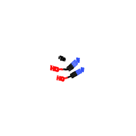 N#CO.N#CO.[Te]